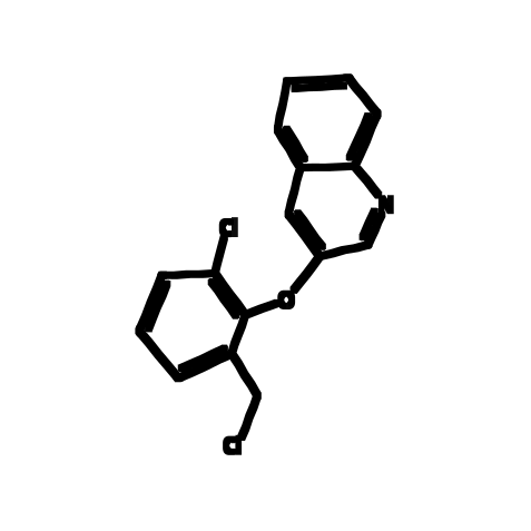 ClCc1cccc(Cl)c1Oc1cnc2ccccc2c1